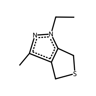 CCn1nc(C)c2c1CSC2